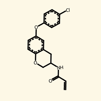 C=CC(=O)NC1COc2ccc(Oc3ccc(Cl)cc3)cc2C1